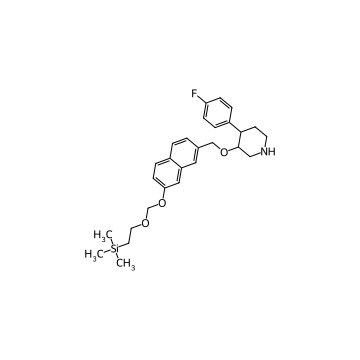 C[Si](C)(C)CCOCOc1ccc2ccc(COC3CNCCC3c3ccc(F)cc3)cc2c1